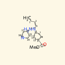 C=C/C=C\N(N)c1ccc(C(=O)OC)cc1-c1cccnc1